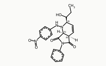 CCC(O)[C@H]1C=C[C@H]2C(=O)N(c3ccccc3)C(=O)[C@H]2N1Nc1ccc([N+](=O)[O-])cc1